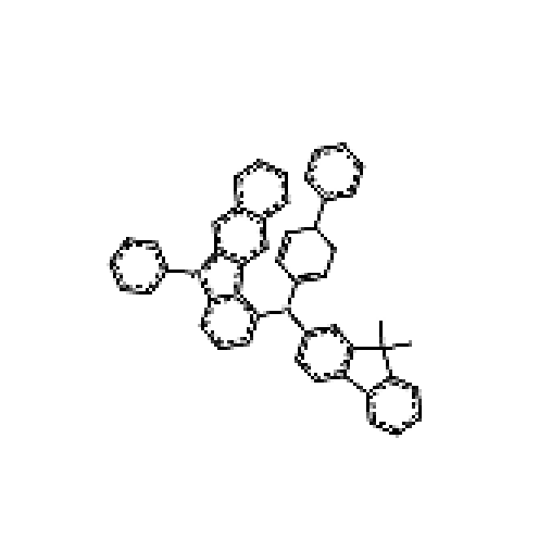 CC1(C)c2ccccc2-c2ccc(N(C3=CCC(c4ccccc4)C=C3)c3cccc4c3c3cc5ccccc5cc3n4-c3ccccc3)cc21